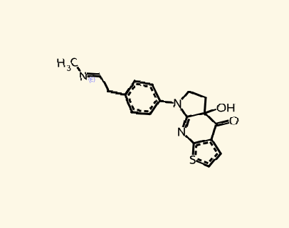 C/N=C/Cc1ccc(N2CCC3(O)C(=O)c4ccsc4N=C23)cc1